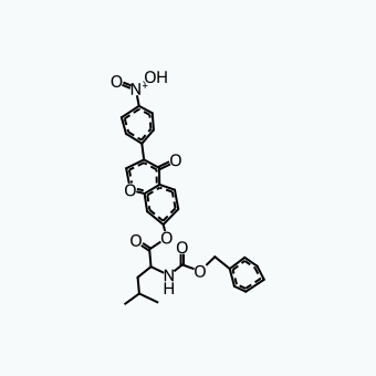 CC(C)CC(NC(=O)OCc1ccccc1)C(=O)Oc1ccc2c(=O)c(-c3ccc([N+](=O)O)cc3)coc2c1